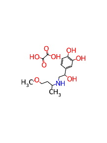 COCCC(C)NCC(O)c1ccc(O)c(O)c1.O=C(O)C(=O)O